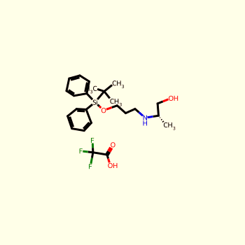 C[C@@H](CO)NCCCO[Si](c1ccccc1)(c1ccccc1)C(C)(C)C.O=C(O)C(F)(F)F